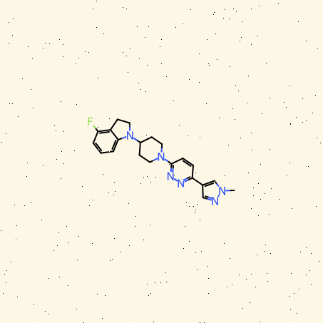 Cn1cc(-c2ccc(N3CCC(N4CCc5c(F)cccc54)CC3)nn2)cn1